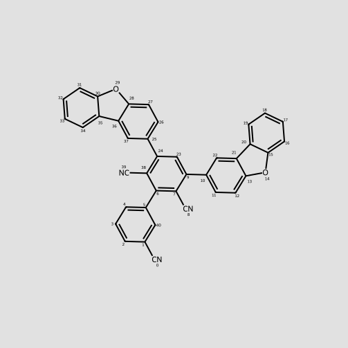 N#Cc1cccc(-c2c(C#N)c(-c3ccc4oc5ccccc5c4c3)cc(-c3ccc4oc5ccccc5c4c3)c2C#N)c1